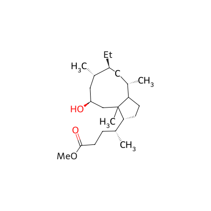 CC[C@H]1C[C@H](C)C2CC[C@H]([C@H](C)CCC(=O)OC)C2(C)C[C@@H](O)C[C@@H]1C